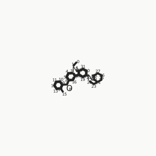 CCn1c2ccc(C(=O)c3ccccc3C)cc2c2cc(N3CCC4CCCC3C4)ccc21